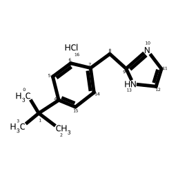 CC(C)(C)c1ccc(Cc2ncc[nH]2)cc1.Cl